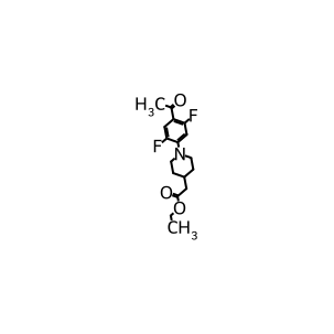 CCOC(=O)CC1CCN(c2cc(F)c(C(C)=O)cc2F)CC1